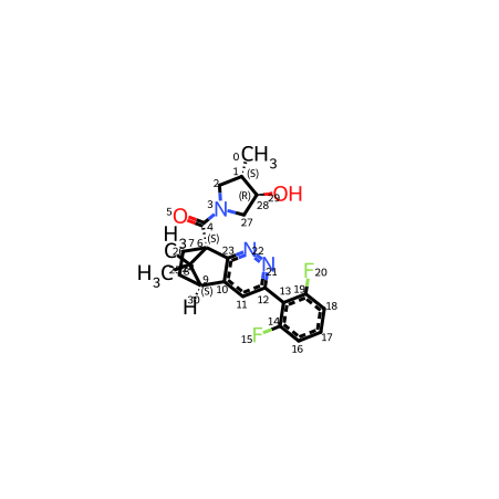 C[C@H]1CN(C(=O)[C@]23CC[C@H](c4cc(-c5c(F)cccc5F)nnc42)C3(C)C)C[C@@H]1O